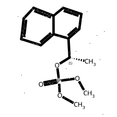 COP(=O)(OC)O[C@@H](C)c1cccc2ccccc12